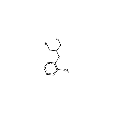 Cc1ccccc1OC(CCl)CBr